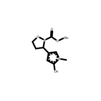 Cn1cc(C2CCON2C(=O)OC(C)(C)C)cc1C#N